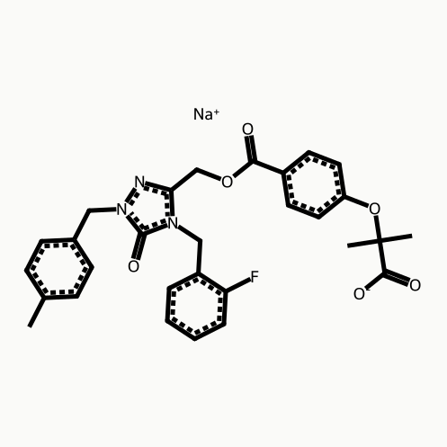 Cc1ccc(Cn2nc(COC(=O)c3ccc(OC(C)(C)C(=O)[O-])cc3)n(Cc3ccccc3F)c2=O)cc1.[Na+]